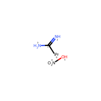 CC(C)C(=N)N.O=[N+]([O-])O